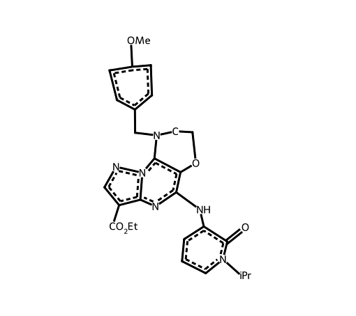 CCOC(=O)c1cnn2c3c(c(Nc4cccn(C(C)C)c4=O)nc12)OCCN3Cc1ccc(OC)cc1